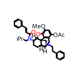 COc1cc(OC(C)=O)c2c3c1O[C@H]1[C@@H](N(CC(C)C)C(=O)C=Cc4ccccc4)CC[C@H]4[C@@H](C2)N(CCc2ccccc2)CC[C@@]341